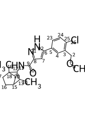 COCc1cc(-c2cc(C(=O)NC3=C(C)C4CCC3(C)C4)n[nH]2)ccc1Cl